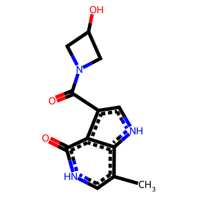 Cc1c[nH]c(=O)c2c(C(=O)N3CC(O)C3)c[nH]c12